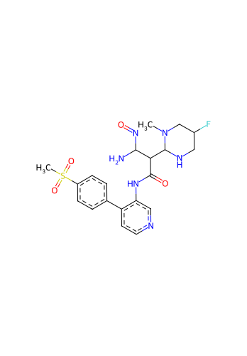 CN1CC(F)CNC1C(C(=O)Nc1cnccc1-c1ccc(S(C)(=O)=O)cc1)C(N)N=O